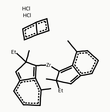 CCC1(C)C=c2cccc(C)c2=[C]1[Zr][C]1=c2c(C)cccc2=CC1(C)CC.Cl.Cl.c1cc2ccc1-2